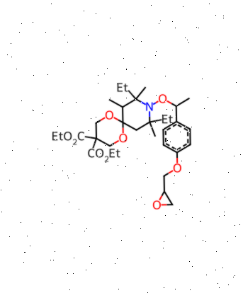 CCOC(=O)C1(C(=O)OCC)COC2(CC(C)(CC)N(OC(C)c3ccc(OCC4CO4)cc3)C(C)(CC)C2C)OC1